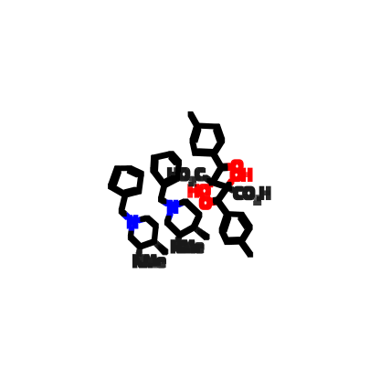 CN[C@H]1CN(Cc2ccccc2)CC[C@H]1C.CN[C@H]1CN(Cc2ccccc2)CC[C@H]1C.Cc1ccc(C(=O)C(O)(C(=O)O)C(O)(C(=O)O)C(=O)c2ccc(C)cc2)cc1